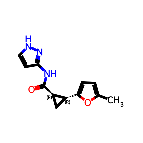 Cc1ccc([C@@H]2C[C@H]2C(=O)Nc2cc[nH]n2)o1